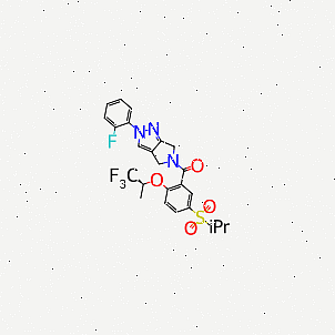 CC(C)S(=O)(=O)c1ccc(O[C@@H](C)C(F)(F)F)c(C(=O)N2Cc3cn(-c4ccccc4F)nc3C2)c1